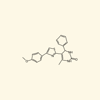 COc1ccc(-c2csc(C3=C(C)NC(=O)NC3c3ccccc3)n2)cc1